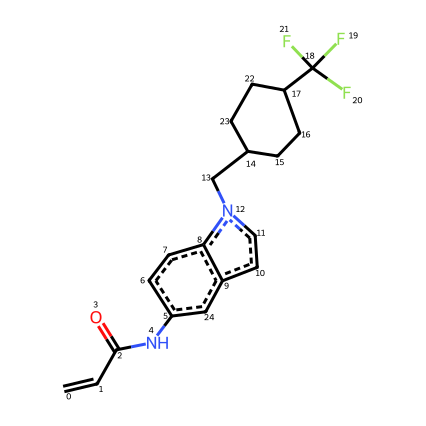 C=CC(=O)Nc1ccc2c(ccn2CC2CCC(C(F)(F)F)CC2)c1